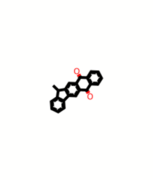 CC1c2ccccc2-c2cc3c(cc21)C(=O)c1ccccc1C3=O